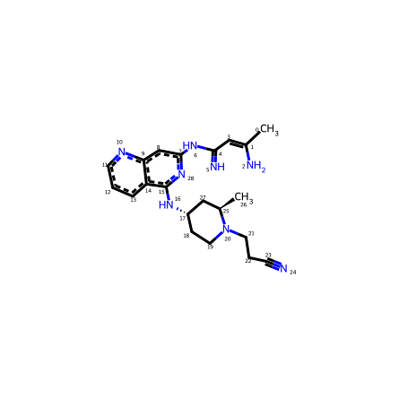 C/C(N)=C/C(=N)Nc1cc2ncccc2c(N[C@H]2CCN(CCC#N)[C@H](C)C2)n1